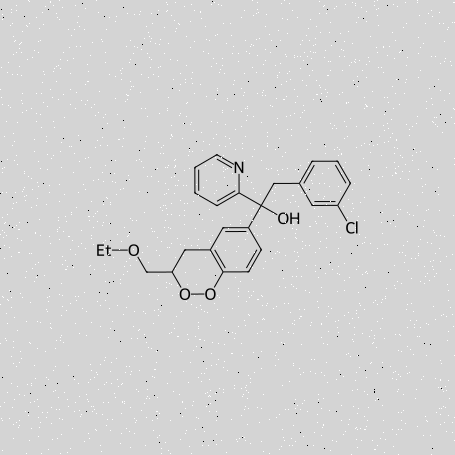 CCOCC1Cc2cc(C(O)(Cc3cccc(Cl)c3)c3ccccn3)ccc2OO1